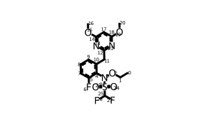 CCON(c1c(F)cccc1Cc1nc(OC)cc(OC)n1)S(=O)(=O)C(F)F